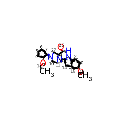 CCOc1ccccc1N1CCN(c2cc3cc(OC)ccc3[nH]2)C(C=O)C1